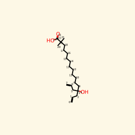 C=CCC(O)(CC=C)CCCCCCCCCCCC(C)(C)C(=O)O